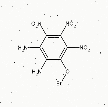 CCOc1c(N)c(N)c([N+](=O)[O-])c([N+](=O)[O-])c1[N+](=O)[O-]